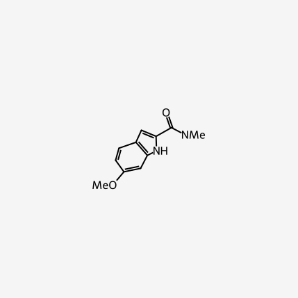 CNC(=O)c1cc2ccc(OC)cc2[nH]1